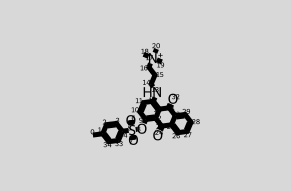 Cc1ccc(S(=O)(=O)Oc2ccc(NCCC[N+](C)(C)C)c3c2C(=O)c2ccccc2C3=O)cc1